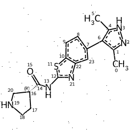 Cc1n[nH]c(C)c1-c1ccc2sc(NC(=O)[C@@H]3CCNC3)nc2c1